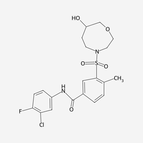 Cc1ccc(C(=O)Nc2ccc(F)c(Cl)c2)cc1S(=O)(=O)N1CCOCC(O)CC1